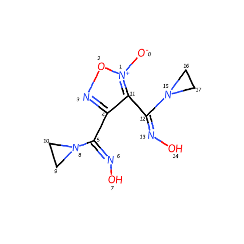 [O-][n+]1onc(C(=NO)N2CC2)c1C(=NO)N1CC1